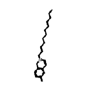 CCCCCCCCCCCCN1C=Cc2cc(C)ccc2C1